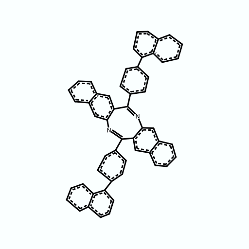 c1ccc2cc3c(cc2c1)/N=C(/c1ccc(-c2cccc4ccccc24)cc1)c1cc2ccccc2cc1/N=C\3c1ccc(-c2cccc3ccccc23)cc1